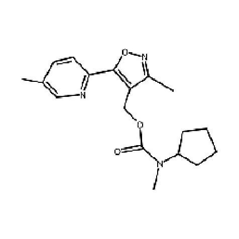 Cc1ccc(-c2onc(C)c2COC(=O)N(C)C2CCCC2)nc1